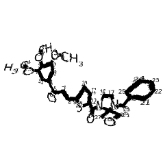 COc1cc(C(=O)/C=C/c2ccc(C(=O)N3CCN(Cc4ccccc4)C34COC4)s2)cc(OC)c1OC